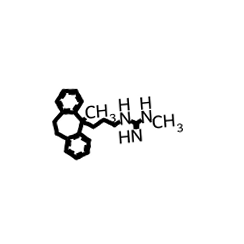 CNC(=N)NCCCC1(C)c2ccccc2CCc2ccccc21